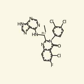 CC[C@@H](Nc1ncnc2[nH]cnc12)c1nc2ccc(F)c(Cl)c2c(=O)n1-c1ccc(Cl)c(Cl)c1